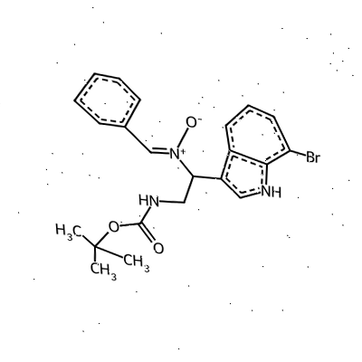 CC(C)(C)OC(=O)NCC(c1c[nH]c2c(Br)cccc12)[N+]([O-])=Cc1ccccc1